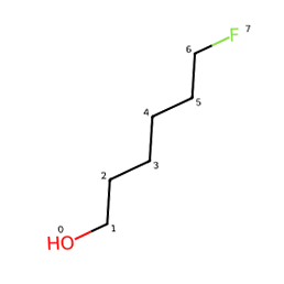 OCCCCCCF